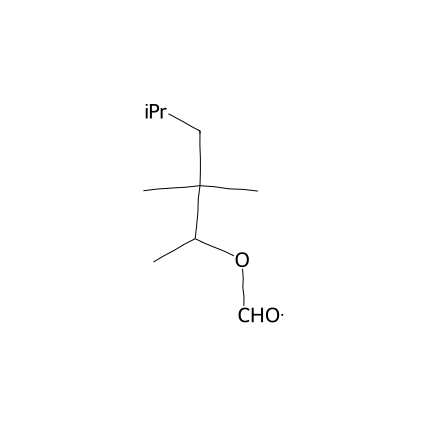 CC(C)CC(C)(C)C(C)O[C]=O